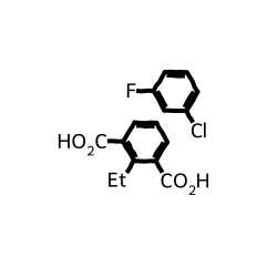 CCc1c(C(=O)O)cccc1C(=O)O.Fc1cccc(Cl)c1